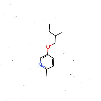 CCC(C)COc1ccc(C)nc1